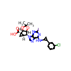 CC1(C)O[C@@H]2[C@H](n3cnc4c(NC5CC5c5cccc(Cl)c5)nc(I)nc43)[C@H]3C[C@@]3(C(=O)O)[C@@H]2O1